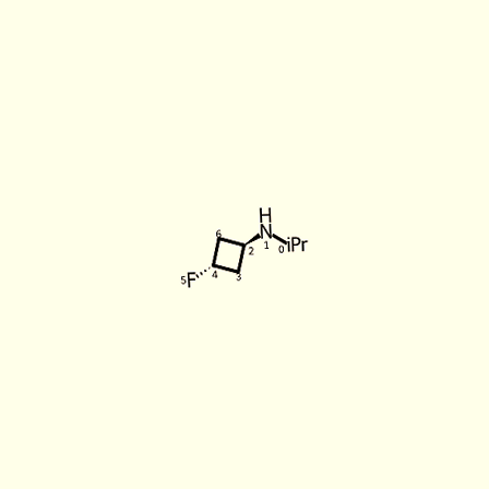 CC(C)N[C@H]1C[C@H](F)C1